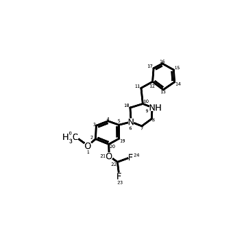 COc1ccc(N2CCNC(Cc3ccccc3)C2)cc1OC(F)F